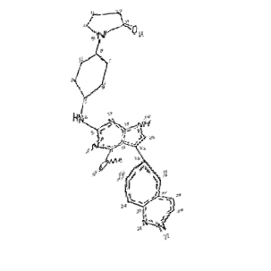 COc1nc(NC2CCC(N3CCCC3=O)CC2)nc2[nH]cc(-c3ccc4nnccc4c3)c12